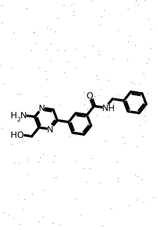 Nc1ncc(-c2cccc(C(=O)NCc3ccccc3)c2)nc1CO